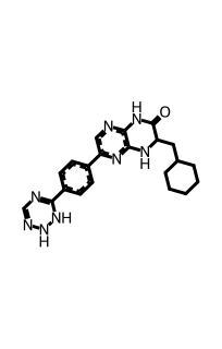 O=C1Nc2ncc(-c3ccc(C4=NC=NNN4)cc3)nc2NC1CC1CCCCC1